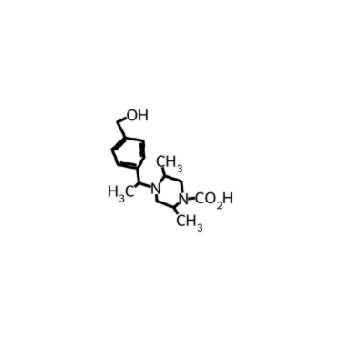 CC1CN(C(C)c2ccc(CO)cc2)C(C)CN1C(=O)O